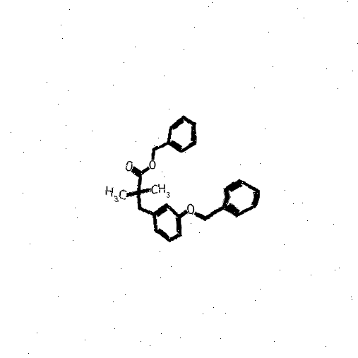 CC(C)(Cc1cccc(OCc2ccccc2)c1)C(=O)OCc1ccccc1